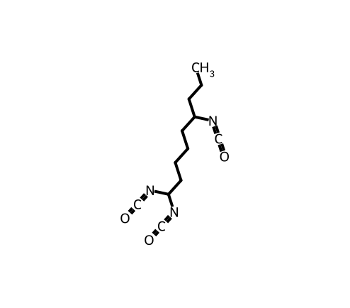 CCCC(CCCCC(N=C=O)N=C=O)N=C=O